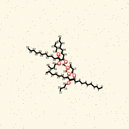 CCCCCCCCCCC(OCCCC)=C(OCCCC)C(CCCCCCC)OCOCOC(CCCCCCC)C(OCCCC)=C(CCCCCCCCCC)OCCCC